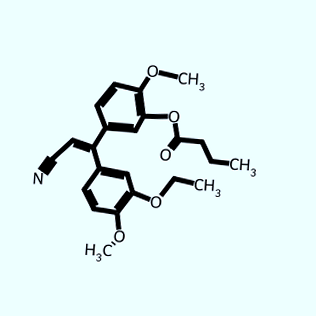 CCCC(=O)Oc1cc(C(=CC#N)c2ccc(OC)c(OCC)c2)ccc1OC